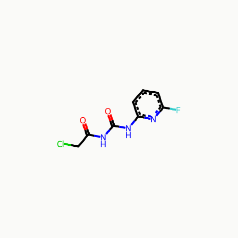 O=C(CCl)NC(=O)Nc1cccc(F)n1